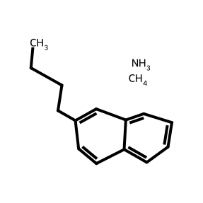 C.CCCCc1ccc2ccccc2c1.N